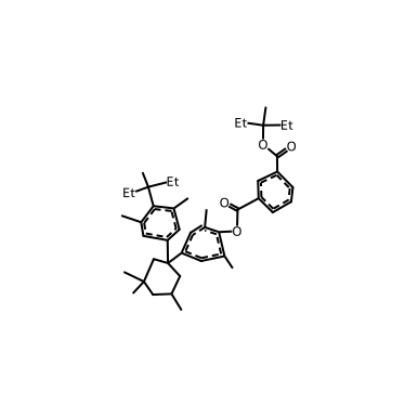 CCC(C)(CC)OC(=O)c1cccc(C(=O)Oc2c(C)cc(C3(c4cc(C)c(C(C)(CC)CC)c(C)c4)CC(C)CC(C)(C)C3)cc2C)c1